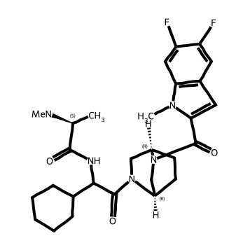 CN[C@@H](C)C(=O)NC(C(=O)N1C[C@H]2CC[C@@H]1CN2C(=O)c1cc2cc(F)c(F)cc2n1C)C1CCCCC1